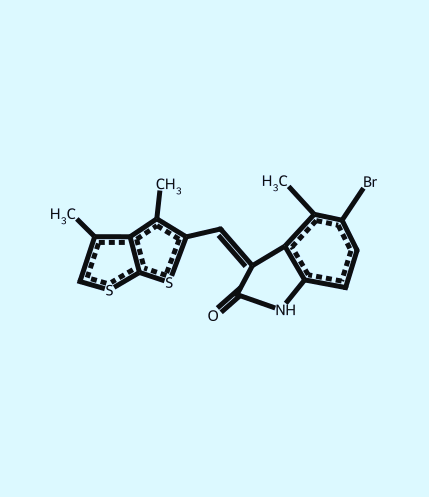 Cc1c(Br)ccc2c1C(=Cc1sc3scc(C)c3c1C)C(=O)N2